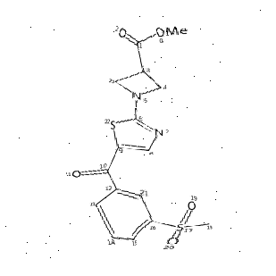 COC(=O)C1CN(c2ncc(C(=O)c3cccc(S(C)(=O)=O)c3)s2)C1